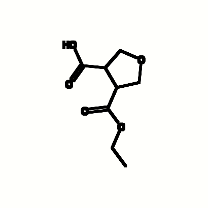 CCOC(=O)C1COCC1C(=O)O